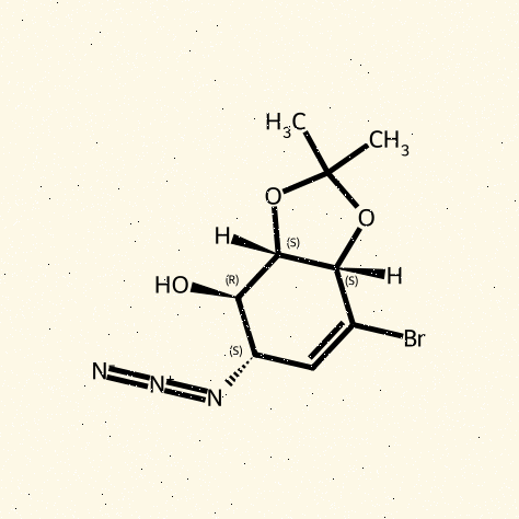 CC1(C)O[C@H]2[C@H](O)[C@@H](N=[N+]=[N-])C=C(Br)[C@H]2O1